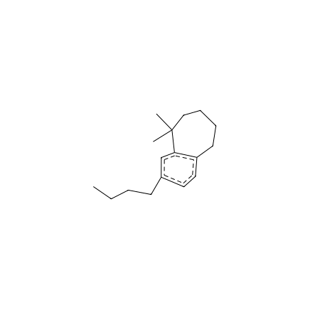 CCCCc1ccc2c(c1)C(C)(C)CCCC2